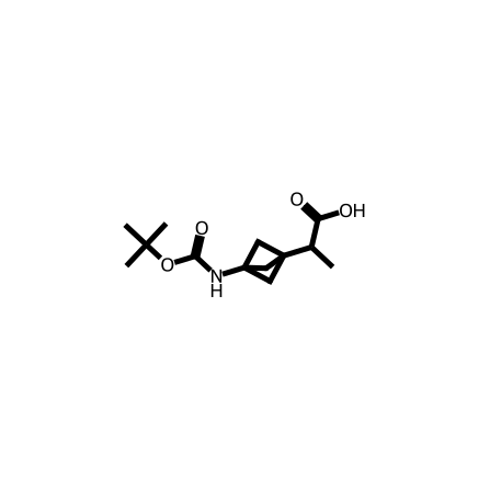 CC(C(=O)O)C12CC(NC(=O)OC(C)(C)C)(C1)C2